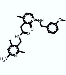 COc1cccc(CNn2ccc(C)c(CC(=O)NCc3c(C)cc(N)nc3C)c2=O)c1